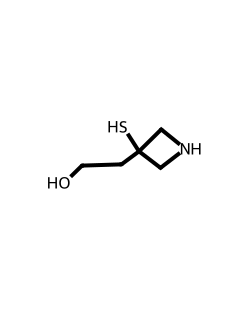 OCCC1(S)CNC1